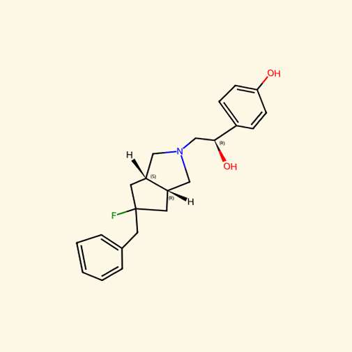 Oc1ccc([C@@H](O)CN2C[C@@H]3CC(F)(Cc4ccccc4)C[C@@H]3C2)cc1